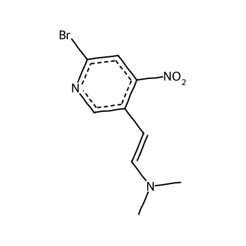 CN(C)C=Cc1cnc(Br)cc1[N+](=O)[O-]